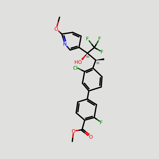 COC(=O)c1ccc(-c2ccc([C@H](C)[C@](O)(c3ccc(OC)nc3)C(F)(F)F)c(Cl)c2)cc1F